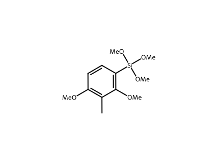 COc1ccc([Si](OC)(OC)OC)c(OC)c1C